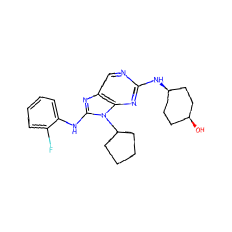 O[C@H]1CC[C@@H](Nc2ncc3nc(Nc4ccccc4F)n(C4CCCC4)c3n2)CC1